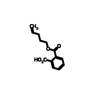 C=CCCCOC(=O)c1ccccc1C(=O)O